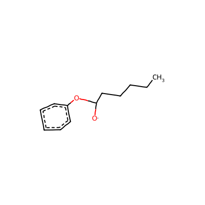 CCCCCC([O])Oc1ccccc1